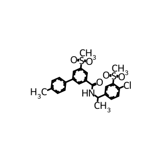 Cc1ccc(-c2cc(C(=O)NC(C)c3ccc(Cl)c(S(C)(=O)=O)c3)cc(S(C)(=O)=O)c2)cc1